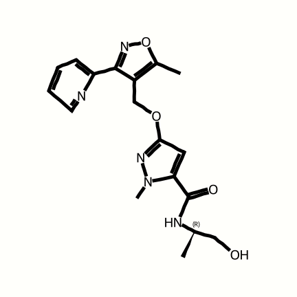 Cc1onc(-c2ccccn2)c1COc1cc(C(=O)N[C@H](C)CO)n(C)n1